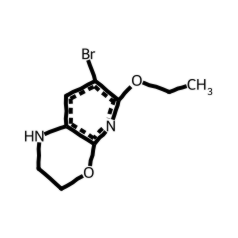 CCOc1nc2c(cc1Br)NCCO2